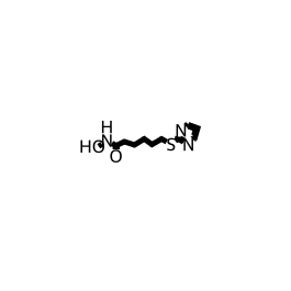 O=C(CCCCCSc1ncccn1)NO